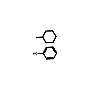 CC1CCCCC1.Oc1ccccc1